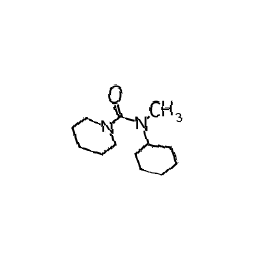 CN(C(=O)N1CCCCC1)C1CCCCC1